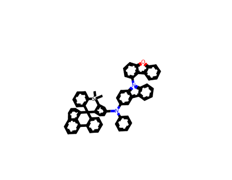 C[Si]1(C)c2ccccc2C2(c3ccccc3-c3cccc4cccc2c34)c2ccc(N(c3ccccc3)c3ccc4c(c3)c3ccccc3n4-c3cccc4oc5ccccc5c34)cc21